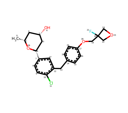 C[C@@H]1C[C@H](O)C[C@H](c2ccc(Cl)c(Cc3ccc(OCC4(F)COC4)cc3)c2)O1